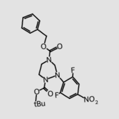 CC(C)(C)OC(=O)N1CCN(C(=O)OCc2ccccc2)CN1c1c(F)cc([N+](=O)[O-])cc1F